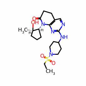 CCS(=O)(=O)N1CCC(Nc2ncc3c(n2)N([C@@H]2CCC[C@@]2(C)O)C(=O)CC3)CC1